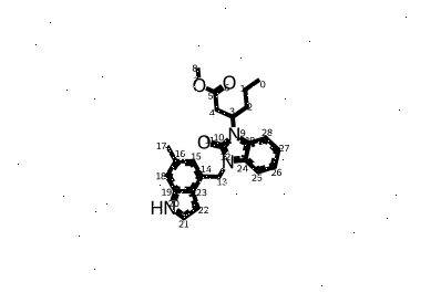 CCCC(CC(=O)OC)n1c(=O)n(Cc2cc(C)cc3[nH]ccc23)c2ccccc21